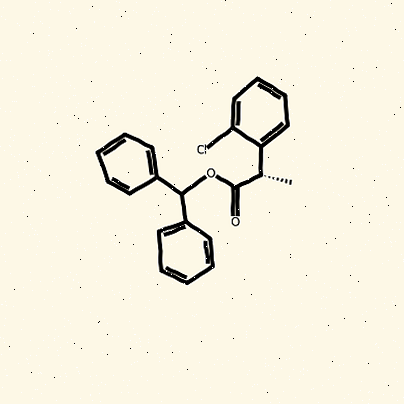 C[C@H](C(=O)OC(c1ccccc1)c1ccccc1)c1ccccc1Cl